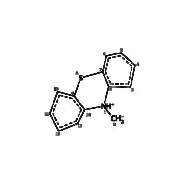 [CH2-][NH+]1c2ccccc2Sc2ccccc21